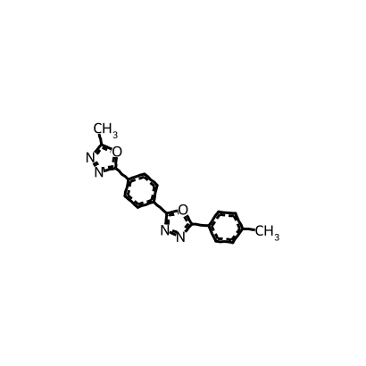 Cc1ccc(-c2nnc(-c3ccc(-c4nnc(C)o4)cc3)o2)cc1